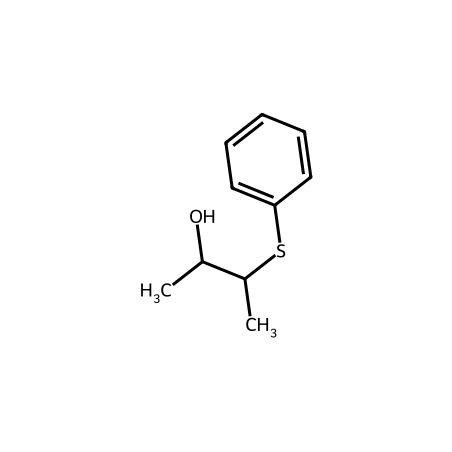 CC(O)C(C)Sc1ccccc1